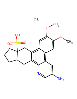 C.COc1cc2c3c(c4ncc(N)cc4c2cc1OC)CC1CCCC1(S(=O)(=O)O)C3